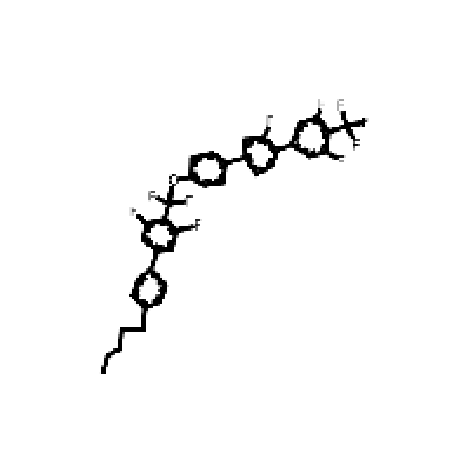 CCCCCc1ccc(-c2cc(F)c(C(F)(F)Oc3ccc(-c4ccc(-c5cc(F)c(C(F)(F)F)c(F)c5)c(F)c4)cc3)c(F)c2)cc1